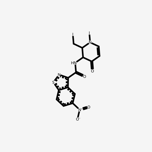 O=C(NC1C(=O)C=CN(I)C1CI)c1nsc2ccc([N+](=O)[O-])cc12